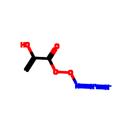 C=C(O)C(=O)OON=[N+]=[N-]